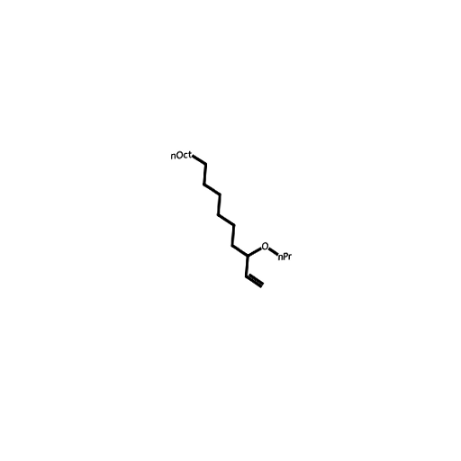 C=CC(CCCCCCCCCCCCCC)OCCC